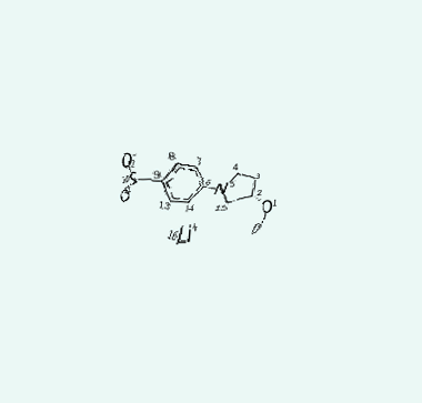 CO[C@H]1CCN(c2ccc(S(=O)[O-])cc2)C1.[Li+]